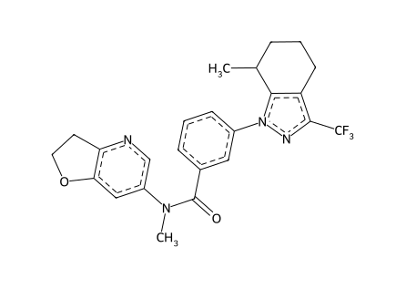 CC1CCCc2c(C(F)(F)F)nn(-c3cccc(C(=O)N(C)c4cnc5c(c4)OCC5)c3)c21